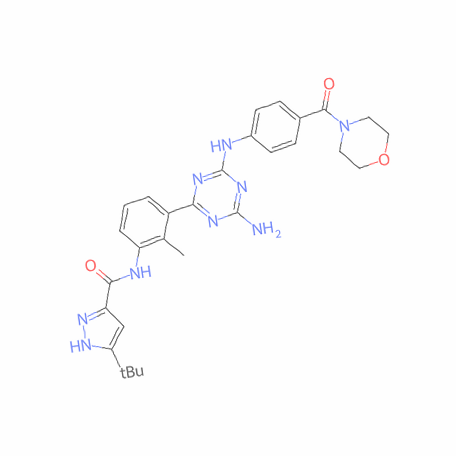 Cc1c(NC(=O)c2cc(C(C)(C)C)[nH]n2)cccc1-c1nc(N)nc(Nc2ccc(C(=O)N3CCOCC3)cc2)n1